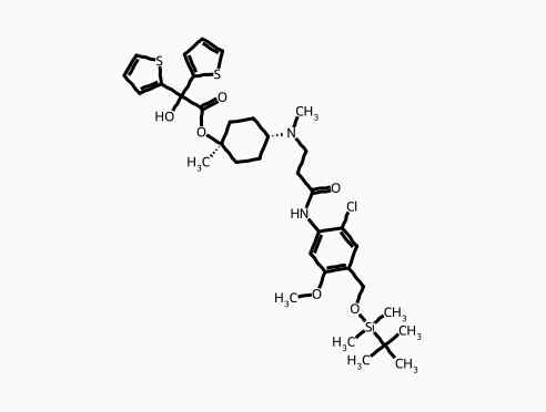 COc1cc(NC(=O)CCN(C)[C@H]2CC[C@](C)(OC(=O)C(O)(c3cccs3)c3cccs3)CC2)c(Cl)cc1CO[Si](C)(C)C(C)(C)C